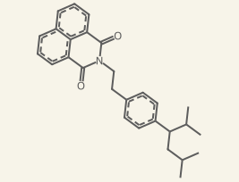 CC(C)CC(c1ccc(CCN2C(=O)c3cccc4cccc(c34)C2=O)cc1)C(C)C